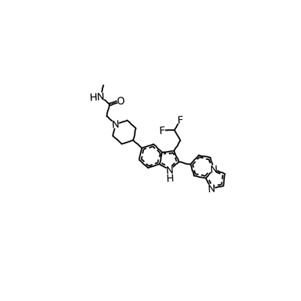 CNC(=O)CN1CCC(c2ccc3[nH]c(-c4ccn5ccnc5c4)c(CC(F)F)c3c2)CC1